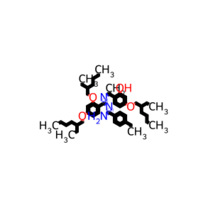 C=C(/N=C(\N=C(/N)c1ccc(CC)cc1)c1ccc(OCC(CC)CCCC)cc1OCC(CC)CCCC)c1ccc(OCC(CC)CCCC)cc1O